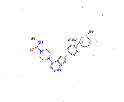 CO[C@@]1(c2ccc(-c3cc4c(N5CCN(C(=O)NC(C)C)CC5)ccnn4c3)nc2)CCCN(C(C)C)C1